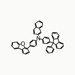 c1ccc(C2(c3ccc(N(c4ccc(-c5cccc6c5oc5ccccc56)cc4)c4ccc5ccccc5c4)cc3)c3ccccc3-c3ccccc32)cc1